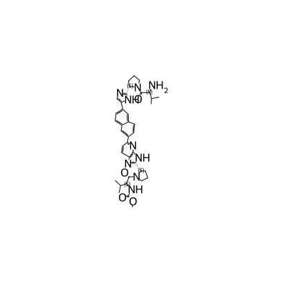 COC(=O)N[C@H](C(=O)N1CCC[C@H]1c1nc2ccc(-c3ccc4cc(-c5cnc([C@@H]6CCCN6C(=O)[C@@H](N)C(C)C)[nH]5)ccc4c3)nc2[nH]1)C(C)C